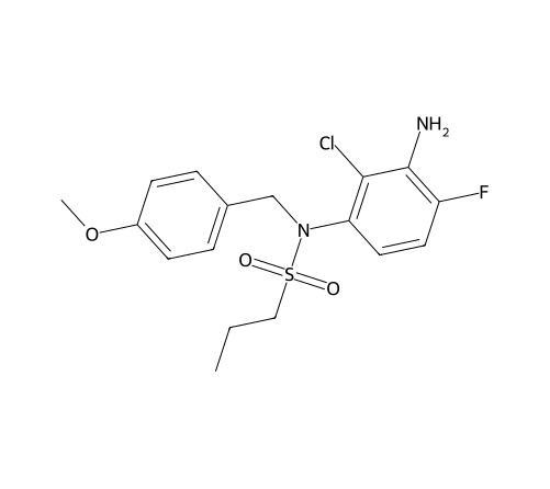 CCCS(=O)(=O)N(Cc1ccc(OC)cc1)c1ccc(F)c(N)c1Cl